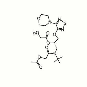 CC(=O)OCC(=O)N(C[C@@H](COc1nsnc1N1CCOCC1)OC(=O)CO)C(C)(C)C